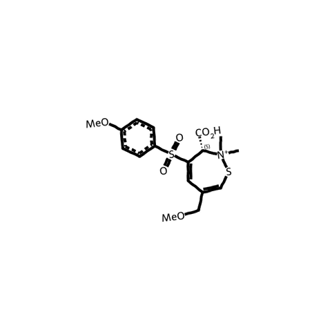 COCC1=CS[N+](C)(C)[C@@H](C(=O)O)C(S(=O)(=O)c2ccc(OC)cc2)=C1